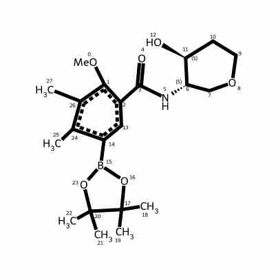 COc1c(C(=O)N[C@H]2COCC[C@@H]2O)cc(B2OC(C)(C)C(C)(C)O2)c(C)c1C